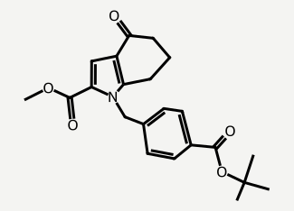 COC(=O)c1cc2c(n1Cc1ccc(C(=O)OC(C)(C)C)cc1)CCCC2=O